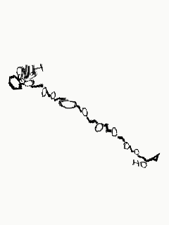 CC1(N=N)C=CC=CC=C1OCCOCCOCCOCCOCCOCCOCCOCCOCCC(O)=C1CC1